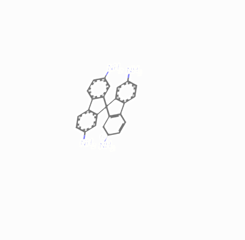 Nc1ccc2c(c1)C1(C3=C2C=C[C@@H](N)C3)c2cc(N)ccc2-c2ccc(N)cc21